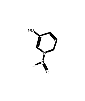 O=[N+]([O-])N1C=C(O)C=CC1